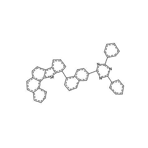 c1ccc(-c2nc(-c3ccccc3)nc(-c3ccc4c(-c5cccc6c5[se]c5c6ccc6ccc7ccccc7c65)cccc4c3)n2)cc1